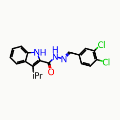 CC(C)c1c(C(=O)NN=Cc2ccc(Cl)c(Cl)c2)[nH]c2ccccc12